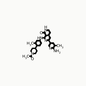 CC(=O)N1CCC(c2ccc(Nc3nc(-c4cnc(N)c(C)c4)cc4cc[nH]c(=O)c34)cc2C)CC1